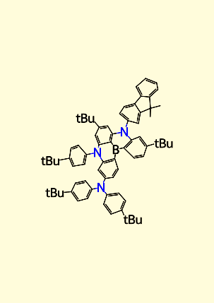 CC(C)(C)c1ccc(N(c2ccc(C(C)(C)C)cc2)c2ccc3c(c2)N(c2ccc(C(C)(C)C)cc2)c2cc(C(C)(C)C)cc4c2B3c2ccc(C(C)(C)C)cc2N4c2ccc3c(c2)C(C)(C)c2ccccc2-3)cc1